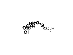 O=C(O)CCOCCc1ccc(CN2C[C@H]3C[C@H](OC(=O)Nc4ccccc4-c4ccccc4)C[C@H]3C2)cc1